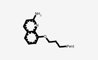 CCCC(C)CCCOc1cccc2ccc(N)nc12